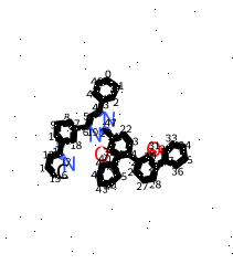 c1ccc(-c2cc(-c3cccc(-c4ccccn4)c3)nc(-c3ccc(-c4cccc5c4oc4ccccc45)c4c3oc3ccccc34)n2)cc1